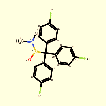 CN(C)[S+]([O-])C(c1ccc(F)cc1)(c1ccc(F)cc1)c1ccc(F)cc1